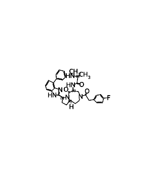 CN[C@@H](C)C(=O)N[C@H]1CN(C(=O)Cc2ccc(F)cc2)CC[C@H]2CC[C@@H](c3nc4c(-c5ccccc5)cccc4[nH]3)N2C1=O